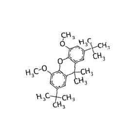 COc1cc(C(C)(C)C)cc2c1Oc1c(OC)cc(C(C)(C)C)cc1C2(C)C